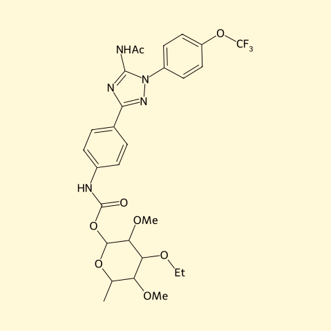 CCOC1C(OC)C(C)OC(OC(=O)Nc2ccc(-c3nc(NC(C)=O)n(-c4ccc(OC(F)(F)F)cc4)n3)cc2)C1OC